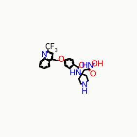 O=C(CC1(NC(=O)c2ccc(OCc3cc(C(F)(F)F)nc4ccccc34)cc2)CCNCC1)NO